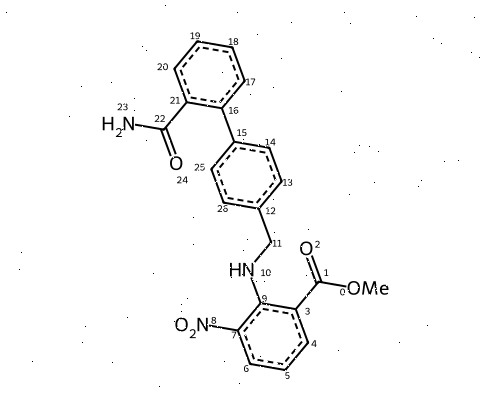 COC(=O)c1cccc([N+](=O)[O-])c1NCc1ccc(-c2ccccc2C(N)=O)cc1